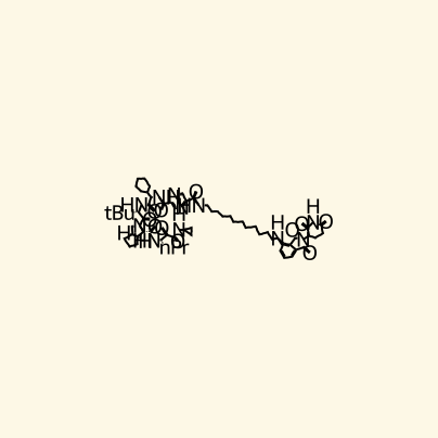 CCC[C@H](NC(=O)[C@@H]1[C@H]2CCC[C@H]2CN1C(=O)[C@@H](NC(=O)[C@@H](NC(=O)c1cnc(C(=O)NCCCCCCCCCCCCNc2cccc3c2C(=O)N(C2CCC(=O)NC2=O)C3=O)cn1)C1CCCCC1)C(C)(C)C)C(=O)C(=O)NC1CC1